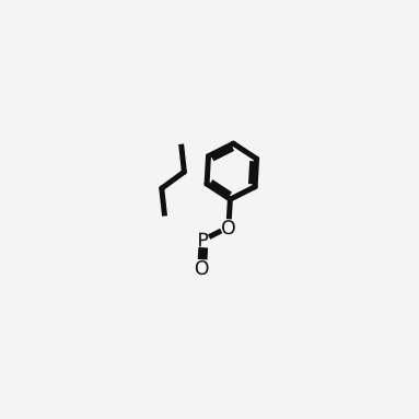 CCCC.O=POc1ccccc1